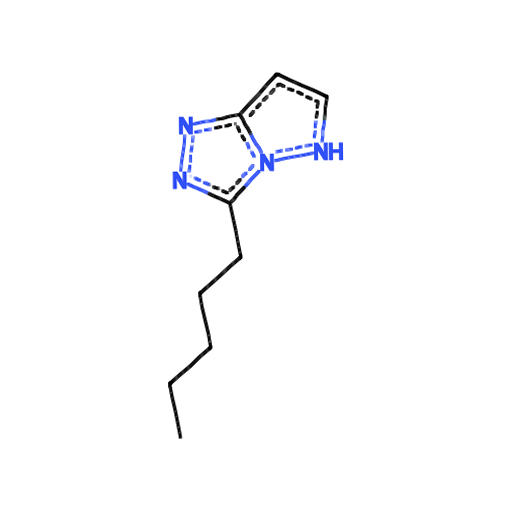 CCCCCc1nnc2cc[nH]n12